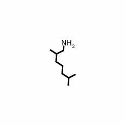 CC(C)CCCC(C)CN